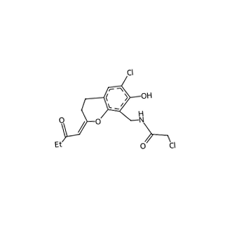 CCC(=O)/C=C1\CCc2cc(Cl)c(O)c(CNC(=O)CCl)c2O1